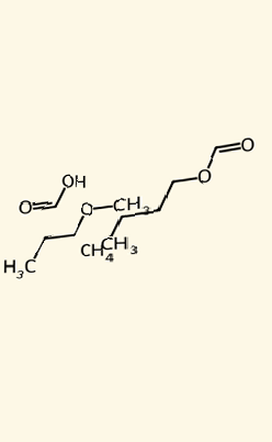 C.CCCCOC=O.CCCOC.O=CO